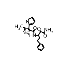 Cc1nsc(C(=O)NC(CCc2ccccc2)C(=O)C(N)=O)c1-c1ccccn1